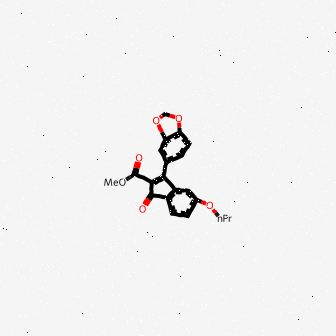 CCCOc1ccc2c(c1)C(c1ccc3c(c1)OCO3)=C(C(=O)OC)C2=O